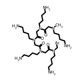 CC(=O)CN(CCCCN)C(=O)CN(CCCCN)C(=O)CN(CCCCN)C(=O)CN(CCCCN)C(=O)CN(C)CCCCN